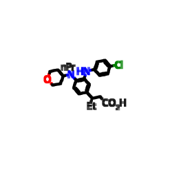 CCCN(c1ccc([C@H](CC)CC(=O)O)cc1Nc1ccc(Cl)cc1)C1CCOCC1